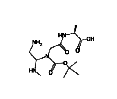 CNC(CN)N(CC(=O)N[C@@H](C)C(=O)O)C(=O)OC(C)(C)C